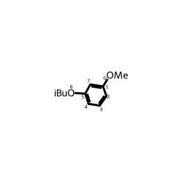 COc1cccc(OCC(C)C)c1